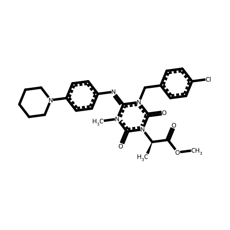 COC(=O)[C@@H](C)n1c(=O)n(C)/c(=N\c2ccc(N3CCCCC3)cc2)n(Cc2ccc(Cl)cc2)c1=O